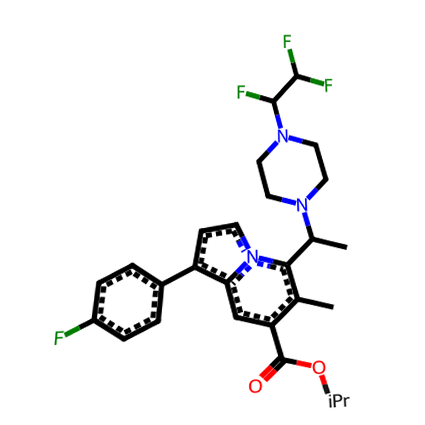 Cc1c(C(=O)OC(C)C)cc2c(-c3ccc(F)cc3)ccn2c1C(C)N1CCN(C(F)C(F)F)CC1